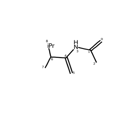 C=C(C)NC(=C)C(C)C(C)C